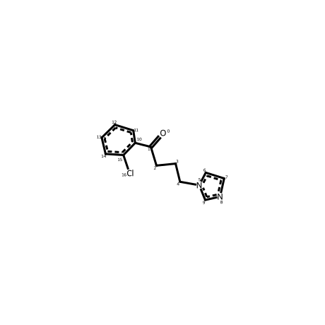 O=C(CCCn1ccnc1)c1ccccc1Cl